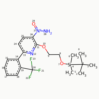 CC(C)(C)[Si](C)(C)OCCOc1nc(-c2ccccc2C(F)(F)F)c[c]c1[N+](N)=O